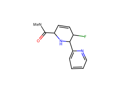 CNC(=O)C1C=CC(F)C(c2ccccn2)N1